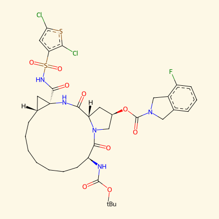 CC(C)(C)OC(=O)N[C@H]1CCCCCCC[C@@H]2C[C@@]2(C(=O)NS(=O)(=O)c2cc(Cl)sc2Cl)NC(=O)[C@@H]2C[C@@H](OC(=O)N3Cc4cccc(F)c4C3)CN2C1=O